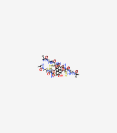 C=C(C)C(=O)NCCCNC(=O)C(CS)NS(=O)(=O)c1cc(O)c2ccc3c(S(=O)(=O)NC(CS)C(=O)NCCCNC(=O)C(=C)C)cc(S(=O)(=O)NC(CS)C(=O)NCCCNC(=O)C(=C)C)c4ccc1c2c34